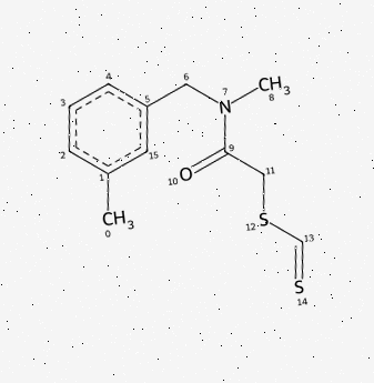 Cc1cccc(CN(C)C(=O)CSC=S)c1